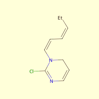 CC/C=C\C=C/N1CC=CN=C1Cl